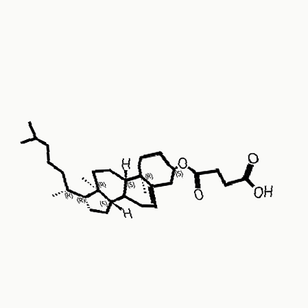 CC(C)CCC[C@@H](C)[C@H]1CC[C@H]2C3CC=C4C[C@@H](OC(=O)CCC(=O)O)CC[C@]4(C)[C@H]3CC[C@]12C